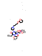 CCOP(C)(=O)CC(=O)N1O[C@H](CC(C)C)C(=O)N2[C@@H]1CN([C@@H]1CCN(CCCCOC3CCCCO3)C1)C(=O)[C@@H]2CC(C)(C)C